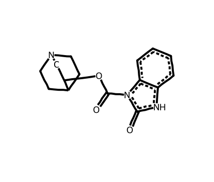 O=C(OC1CN2CCC1CC2)n1c(=O)[nH]c2ccccc21